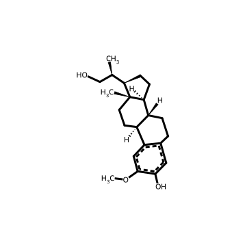 COc1cc2c(cc1O)CC[C@@H]1[C@@H]2CC[C@]2(C)[C@@H]([C@H](C)CO)CC[C@@H]12